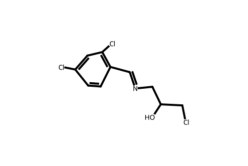 OC(CCl)C/N=C/c1ccc(Cl)cc1Cl